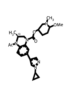 COC1CCC(OC(=O)N2C[C@H](C)N(C(C)=O)c3ccc(-c4cnn(C5CC5)c4)cc32)CN1C